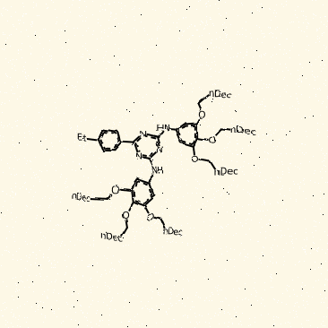 CCCCCCCCCCCOc1cc(Nc2nc(Nc3cc(OCCCCCCCCCCC)c(OCCCCCCCCCCC)c(OCCCCCCCCCCC)c3)nc(-c3ccc(CC)cc3)n2)cc(OCCCCCCCCCCC)c1OCCCCCCCCCCC